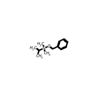 CC(C)[Si](C)(C)OCc1ccccc1